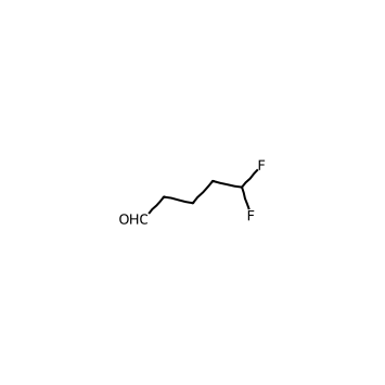 O=CCCCC(F)F